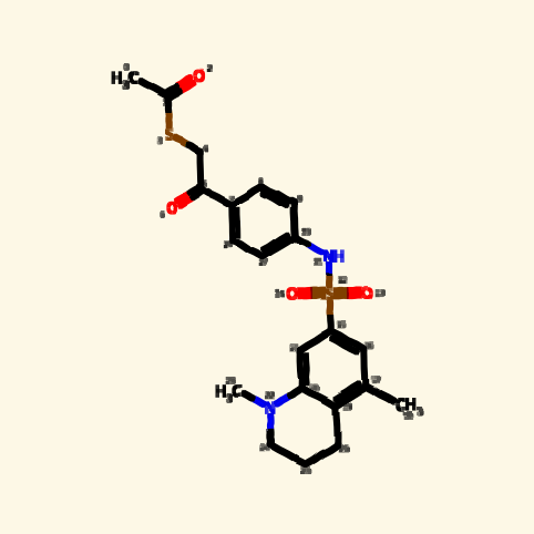 CC(=O)SCC(=O)c1ccc(NS(=O)(=O)c2cc(C)c3c(c2)N(C)CCC3)cc1